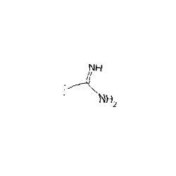 [C]C(=N)N